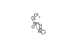 O=C(CCc1nc2ccccc2[nH]1)NCc1ccc(C(F)(F)F)s1